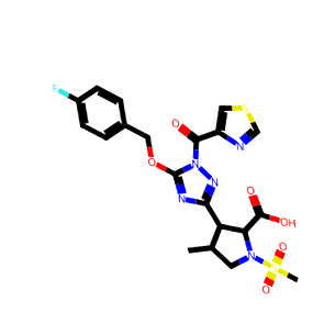 CC1CN(S(C)(=O)=O)C(C(=O)O)C1c1nc(OCc2ccc(F)cc2)n(C(=O)c2cscn2)n1